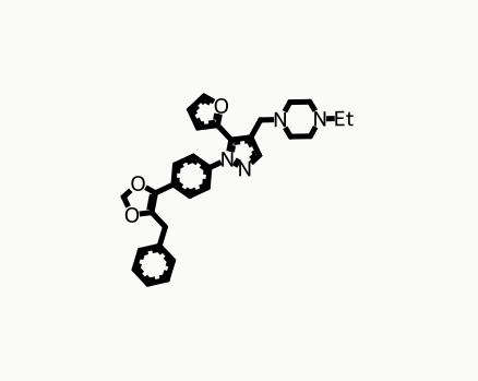 CCN1CCN(Cc2cnn(-c3ccc(C4=C(Cc5ccccc5)OCO4)cc3)c2-c2ccco2)CC1